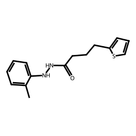 Cc1ccccc1NNC(=O)CCCc1cccs1